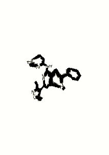 Cc1noc(C)c1-c1cc2c(cc(-c3ccccc3)n2C)c(Nc2ccncn2)n1